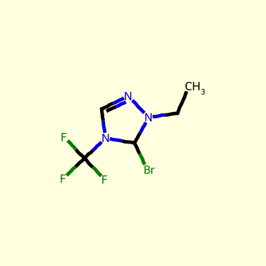 CCN1N=CN(C(F)(F)F)C1Br